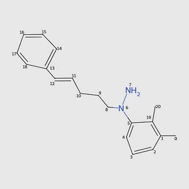 Cc1cccc(N(N)CCCC=Cc2ccccc2)c1C